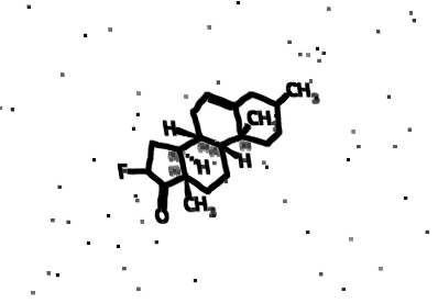 CC1CC[C@@]2(C)C(=CC[C@@H]3[C@H]2CC[C@]2(C)C(=O)C(F)C[C@@H]32)C1